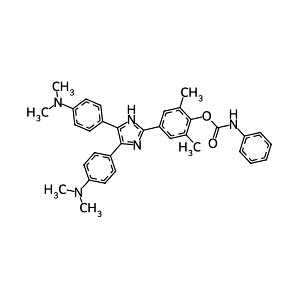 Cc1cc(-c2nc(-c3ccc(N(C)C)cc3)c(-c3ccc(N(C)C)cc3)[nH]2)cc(C)c1OC(=O)Nc1ccccc1